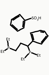 CCP(CC)CCC(c1ccccc1)P(CC)CC.O=S(=O)(O)c1ccccc1